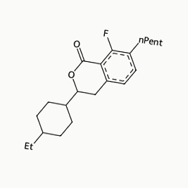 CCCCCc1ccc2c(c1F)C(=O)OC(C1CCC(CC)CC1)C2